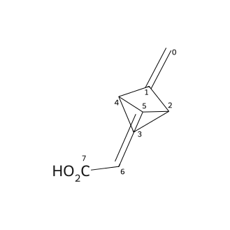 C=C1C2CC1C2=CC(=O)O